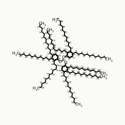 CCCCCCCCCCCCc1ccc(OP(Oc2ccc(CCCCCCCCCCCC)c(CCCCCCCCCCCC)c2CCCCCCCCCCCC)Oc2ccc(CCCCCCCCCCCC)c(CCCCCCCCCCCC)c2CCCCCCCCCCCC)c(CCCCCCCCCCCC)c1CCCCCCCCCCCC